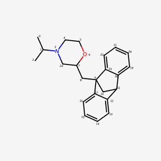 CC(C)N1CCOC(CC23CC(c4ccccc42)c2ccccc23)C1